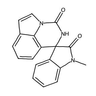 CN1C(=O)C2(NC(=O)n3ccc4cccc2c43)c2ccccc21